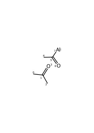 CC(C)=O.C[C](=O)[Al]